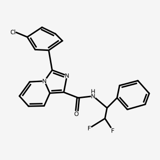 O=C(NC(c1ccccc1)C(F)F)c1nc(-c2cccc(Cl)c2)n2ccccc12